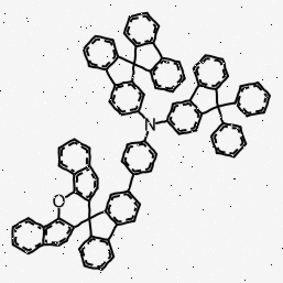 c1ccc(C2(c3ccccc3)c3ccccc3-c3cc(N(c4ccc(-c5ccc6c(c5)C5(c7ccccc7-6)c6ccc7ccccc7c6Oc6c5ccc5ccccc65)cc4)c4ccc5c(c4)C4(c6ccccc6-c6ccccc64)c4ccccc4-5)ccc32)cc1